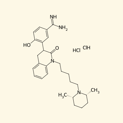 C[C@@H]1CCC[C@H](C)N1CCCCCN1C(=O)C(c2cc(C(=N)N)ccc2O)Cc2ccccc21.Cl.Cl